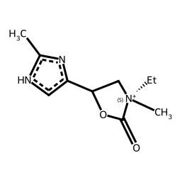 CC[N@@+]1(C)CC(c2c[nH]c(C)n2)OC1=O